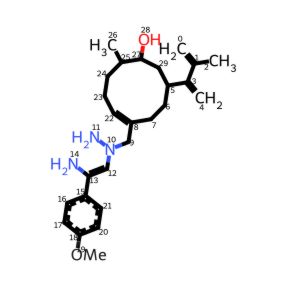 C=C(C)C(=C)C1CC/C(CN(N)/C=C(\N)c2ccc(OC)cc2)=C\CCC(C)C(O)C1